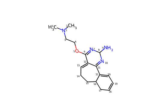 CN(C)CCOC1=NC(N)N=C2C1=CCCC1CC=CC=C21